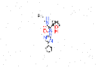 CC(C)CCNC(=O)[C@@H](NC(=O)c1cnc(-c2ccccc2)cn1)[C@@H](C)O